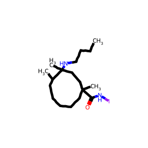 CCCCNC1(C)CCC(C)(C(=O)NI)CCCCCC1C